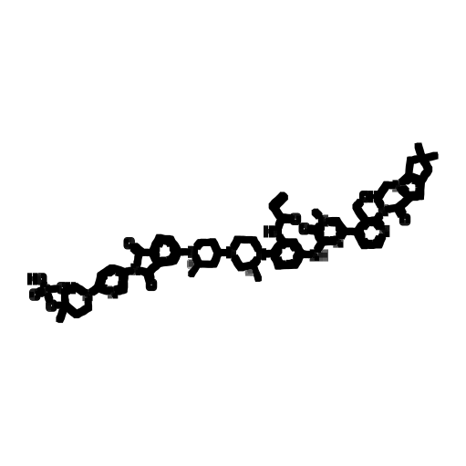 C=CC(=O)Nc1cc(Nc2nc(-c3ccnc(N4CCn5c(cc6c5CC(C)(C)C6)C4=O)c3CO)cn(C)c2=O)ccc1N1CCN(C2CCN(c3ccc4c(c3)C(=O)N(c3ccc(N5CCC(C)(OP(=O)(O)O)CC5)nc3)C4=O)[C@H](C)C2)C[C@@H]1C